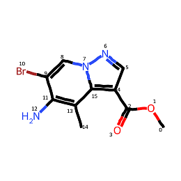 COC(=O)c1cnn2cc(Br)c(N)c(C)c12